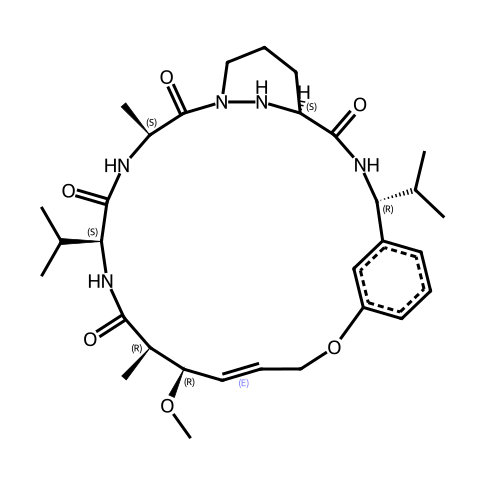 CO[C@@H]1/C=C/COc2cccc(c2)[C@@H](C(C)C)NC(=O)[C@@H]2CCCN(N2)C(=O)[C@H](C)NC(=O)[C@H](C(C)C)NC(=O)[C@@H]1C